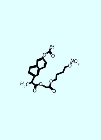 CCC(=O)Oc1ccc2cc(C(C)C(=O)OCC(=O)OCCCCO[N+](=O)[O-])ccc2c1